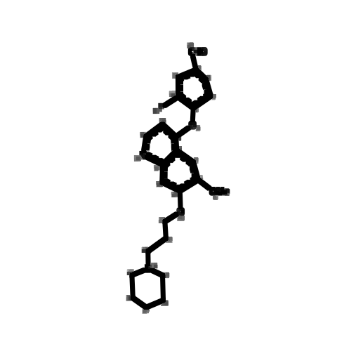 COc1cc2c(Oc3ccc(C=O)cc3F)ccnc2cc1OCCCN1CCCCC1